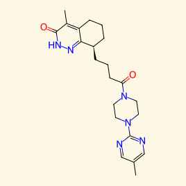 Cc1cnc(N2CCN(C(=O)CCC[C@@H]3CCCc4c3n[nH]c(=O)c4C)CC2)nc1